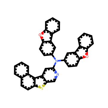 c1ccc2c(c1)ccc1sc3cnc(N(c4ccc5oc6ccccc6c5c4)c4ccc5oc6ccccc6c5c4)cc3c12